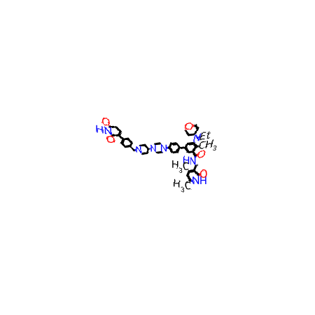 CCN(c1cc(-c2ccc(N3CCN(C4CCN(Cc5ccc(C6CCC(=O)NC6=O)cc5)CC4)CC3)cc2)cc(C(=O)NCc2c(C)cc(C)[nH]c2=O)c1C)C1CCOCC1